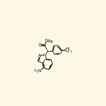 COC(=O)C(c1ccc(C(F)(F)F)cc1)n1ncc2c([N+](=O)[O-])cccc21